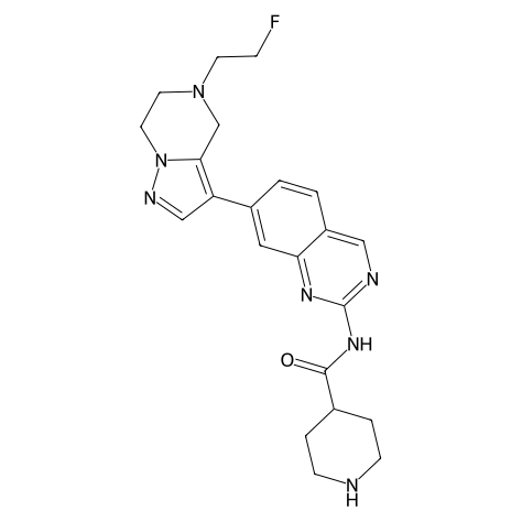 O=C(Nc1ncc2ccc(-c3cnn4c3CN(CCF)CC4)cc2n1)C1CCNCC1